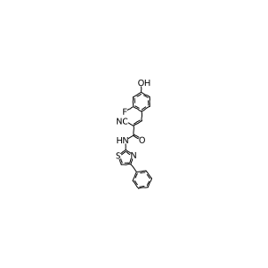 N#C/C(=C\c1ccc(O)cc1F)C(=O)Nc1nc(-c2ccccc2)cs1